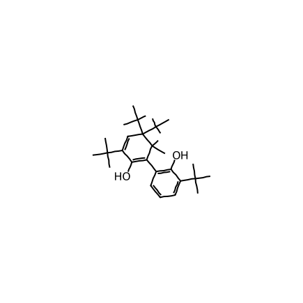 CC(C)(C)C1=CC(C(C)(C)C)(C(C)(C)C)C(C)(C)C(c2cccc(C(C)(C)C)c2O)=C1O